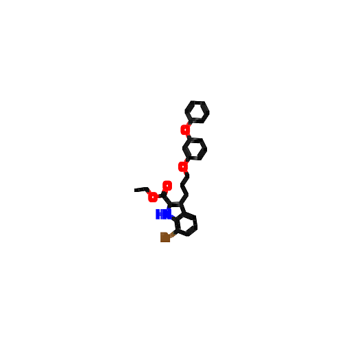 CCOC(=O)c1[nH]c2c(Br)cccc2c1CCCOc1cccc(Oc2ccccc2)c1